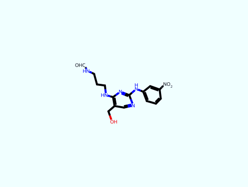 O=CNCCCNc1nc(Nc2cccc([N+](=O)[O-])c2)ncc1CO